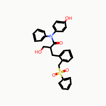 O=C(C(CO)Cc1ccccc1CS(=O)(=O)c1ccccc1)N(c1ccccc1)c1ccc(O)cc1